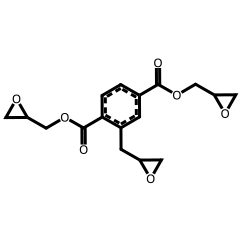 O=C(OCC1CO1)c1ccc(C(=O)OCC2CO2)c(CC2CO2)c1